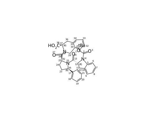 CC(C)(C)OC(=O)N1c2ccccc2C[C@@H]1C(=O)N1[C@@H](c2ccccc2)CC[C@H]1C(=O)N1Cc2ccccc2C[C@@H]1C(=O)O